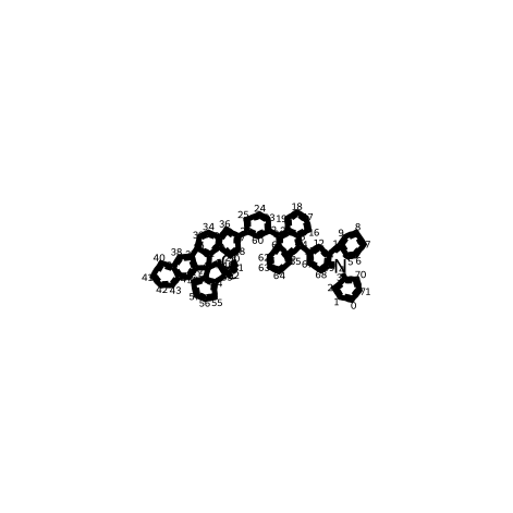 c1ccc(-n2c3ccccc3c3cc(-c4c5ccccc5c(-c5cccc(-c6ccc7c8c(ccc7c6)-c6cc7ccccc7cc6C86c7ccccc7-c7ccccc76)c5)c5ccccc45)ccc32)cc1